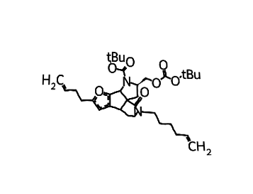 C=CCCCCN1CCC2c3cc(CCC=C)oc3C3N(C(=O)OC(C)(C)C)[C@@H](COC(=O)OC(C)(C)C)CC23C1=O